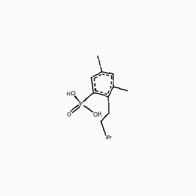 Cc1cc(C)c(CCC(C)C)c(P(=O)(O)O)c1